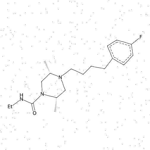 CCNC(=O)N1C[C@H](C)N(CCCCc2ccc(F)cc2)C[C@@H]1C